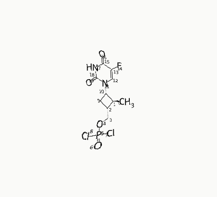 C[C@H]1[C@H](COP(=O)(Cl)Cl)C[C@@H]1n1cc(F)c(=O)[nH]c1=O